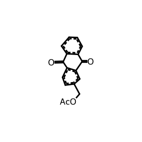 CC(=O)OCc1ccc2c(c1)C(=O)c1ccccc1C2=O